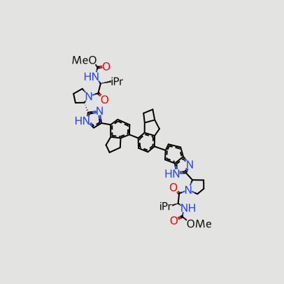 COC(=O)N[C@H](C(=O)N1CCCC1c1nc2ccc(-c3ccc(-c4ccc(-c5c[nH]c([C@@H]6CCCN6C(=O)[C@@H](NC(=O)OC)C(C)C)n5)c5c4CCC5)c4c3CC3CCC43)cc2[nH]1)C(C)C